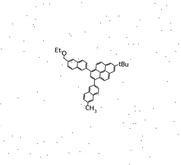 CCOCc1ccc2cc(-c3cc(-c4ccc5cc(C)ccc5c4)c4ccc5cc(C(C)(C)C)cc6ccc3c4c56)ccc2c1